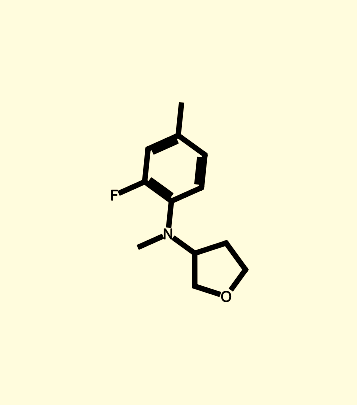 Cc1ccc(N(C)C2CCOC2)c(F)c1